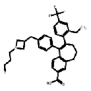 CCc1cc(C(F)(F)F)ccc1C1=C(c2ccc(CC3CN(CCCF)C3)cc2)c2ccc(C(=O)O)cc2CCC1